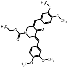 CCOC(=O)N1CC(=Cc2ccc(OC)c(OC)c2)C(=O)C(=Cc2ccc(OC)c(OC)c2)C1